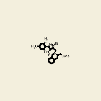 CCn1nc(-c2c(C)cc(C)cc2C)c(C)c1CN1Cc2ccccc2CC1COC